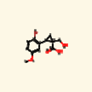 COc1ccc(Br)c(C2CC2(CO)C(=O)O)c1